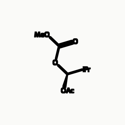 COC(=O)O[C@H](OC(C)=O)C(C)C